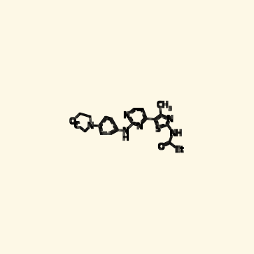 CCC(=O)Nc1nc(C)c(-c2ccnc(Nc3ccc(N4CCOCC4)cc3)n2)s1